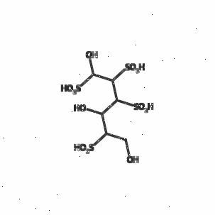 O=S(=O)(O)C(O)C(C(C(O)C(CO)S(=O)(=O)O)S(=O)(=O)O)S(=O)(=O)O